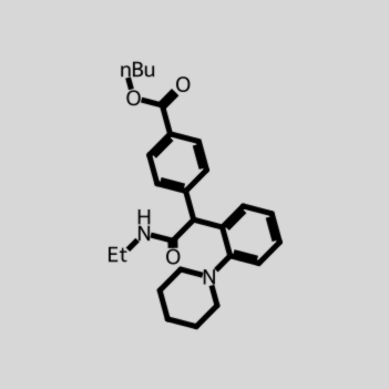 CCCCOC(=O)c1ccc(C(C(=O)NCC)c2ccccc2N2CCCCC2)cc1